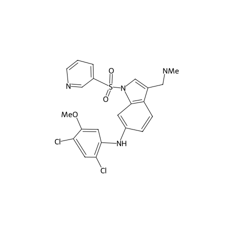 CNCc1cn(S(=O)(=O)c2cccnc2)c2cc(Nc3cc(OC)c(Cl)cc3Cl)ccc12